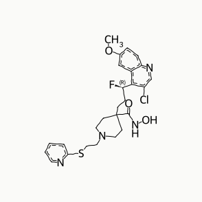 COc1ccc2ncc(Cl)c([C@H](F)CCC3(C(=O)NO)CCN(CCSc4ccccn4)CC3)c2c1